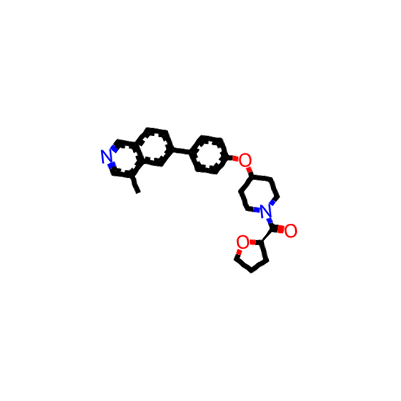 Cc1cncc2ccc(-c3ccc(OC4CCN(C(=O)[C@H]5CCCO5)CC4)cc3)cc12